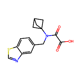 O=C(O)C(=O)N(Cc1ccc2scnc2c1)C12CC(C1)C2